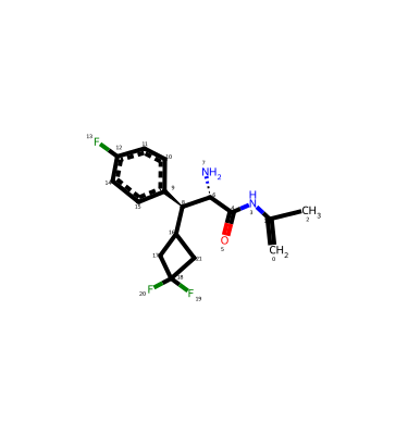 C=C(C)NC(=O)[C@@H](N)[C@H](c1ccc(F)cc1)C1CC(F)(F)C1